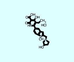 CCc1c(-c2ccc3c(c2)cc(CN2CCC(O)C2)n3C)[nH]c(=O)c(C(=O)O)c1O.Cl